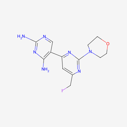 Nc1ncc(-c2cc(CI)nc(N3CCOCC3)n2)c(N)n1